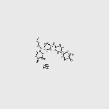 CCON=C(c1ccc(F)c(F)c1)c1ccc(CN2CCC(c3cnc(=O)n(C)c3)CC2)cn1.Cl.Cl